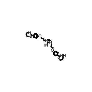 N=c1n(CCCOc2ccc(C3=NCCCN3)cc2)ccn1CCCOc1ccc(C2=NCCCN2)cc1